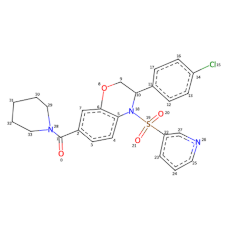 O=C(c1ccc2c(c1)OCC(c1ccc(Cl)cc1)N2S(=O)(=O)c1cccnc1)N1CCCCC1